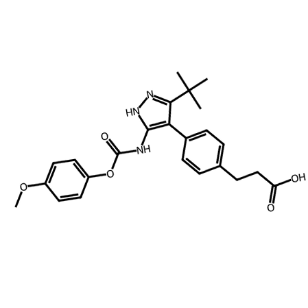 COc1ccc(OC(=O)Nc2[nH]nc(C(C)(C)C)c2-c2ccc(CCC(=O)O)cc2)cc1